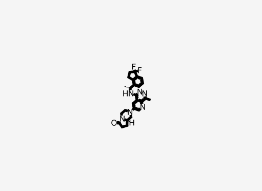 Cc1nnc(N[C@H](C)c2cccc3c2CCC3(F)F)c2cc(N3CCN4C(=O)CC[C@@H]4C3)cnc12